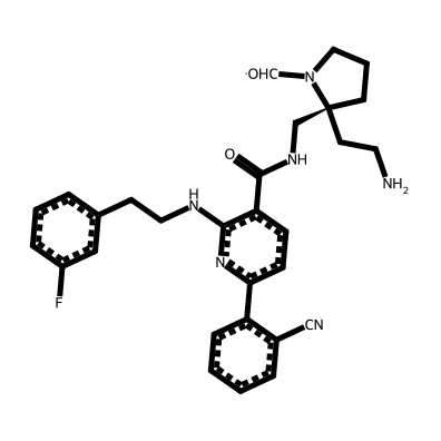 N#Cc1ccccc1-c1ccc(C(=O)NC[C@]2(CCN)CCCN2[C]=O)c(NCCc2cccc(F)c2)n1